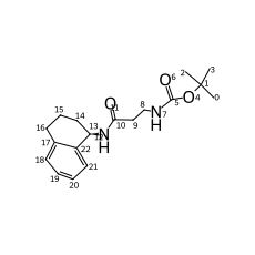 CC(C)(C)OC(=O)NCCC(=O)N[C@@H]1CCCc2ccccc21